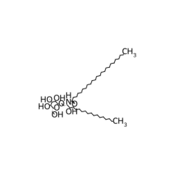 CCCCCCCCCCCCCCCCCCCCCCCC(=O)N[C@@H](COC1O[C@H](CO)[C@H](O)[C@H](O)[C@H]1O)[C@H](O)CCCCCCCCCCCCCCC